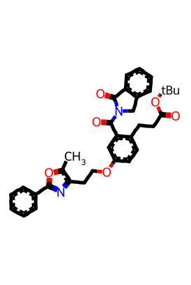 Cc1oc(-c2ccccc2)nc1CCOc1ccc(CCC(=O)OC(C)(C)C)c(C(=O)N2Cc3ccccc3C2=O)c1